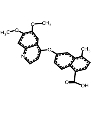 COc1cc2nccc(Oc3ccc4c(C(=O)O)ccc(C)c4c3)c2cc1OC